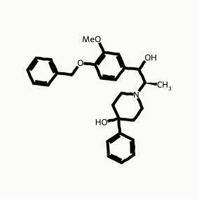 COc1cc(C(O)[C@@H](C)N2CCC(O)(c3ccccc3)CC2)ccc1OCc1ccccc1